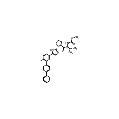 COC(=O)N[C@H](C(=O)N1CCC[C@H]1c1ncc(-c2ccc(I)c(-c3ccc(-c4ccccc4)cc3)c2)[nH]1)C(C)C